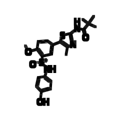 COc1ccc(-c2sc(NC(=O)C(C)(C)C)nc2C)cc1[S+]([O-])Nc1ccc(O)cc1